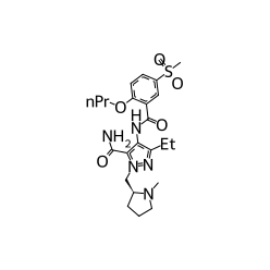 CCCOc1ccc(S(C)(=O)=O)cc1C(=O)Nc1c(CC)nn(C[C@@H]2CCCN2C)c1C(N)=O